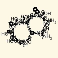 C[C@H](N)C(=O)N[C@H]1CN(C)Cc2cc3cc(c2)CN(C)C[C@@H](C(N)=O)NC(=O)[C@H](C(C)(C)C)NC(=O)[C@H](CC(=O)O)NC(=O)[C@H](CC2CC[C@@H]2O)NC(=O)[C@H](Cc2ccccc2)NC(=O)[C@H](CC(=O)O)NC(=O)[C@H](CCC(=O)O)NC(=O)[C@@H](CSC3)NC(=O)[C@@H](C)NC(=O)[C@H](Cc2cccc3ccccc23)NC(=O)[C@H](CCC(=O)O)NC(=O)[C@H](CC(N)=O)NC(=O)[C@@H](C)NC1=O